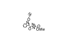 COC(=O)c1cn(C)c(C(=O)c2cn(COCC[Si](C)(C)C)c3ccccc23)n1